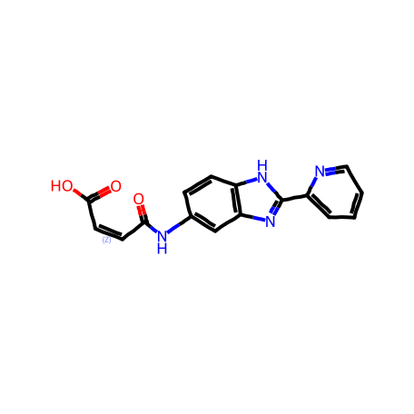 O=C(O)/C=C\C(=O)Nc1ccc2[nH]c(-c3ccccn3)nc2c1